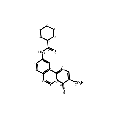 O=C(O)c1cnc2c3cc(NC(=O)C4CCCCC4)ccc3ncn2c1=O